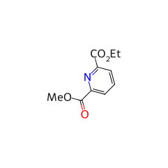 CCOC(=O)c1cccc(C(=O)OC)n1